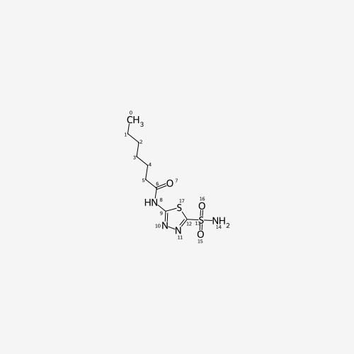 CCCCCCC(=O)Nc1nnc(S(N)(=O)=O)s1